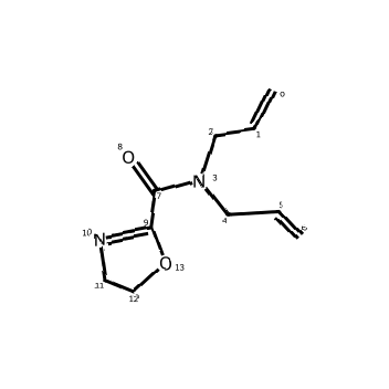 C=CCN(CC=C)C(=O)C1=NCCO1